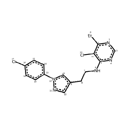 CCc1ncnc(NCCc2cnn(-c3ccc(Cl)cc3)c2)c1Cl